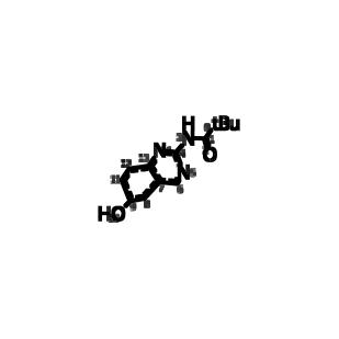 CC(C)(C)C(=O)Nc1ncc2cc(O)ccc2n1